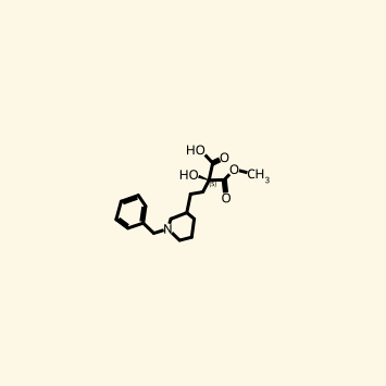 COC(=O)[C@](O)(CCC1CCCN(Cc2ccccc2)C1)C(=O)O